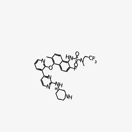 Cc1ccc2c(NS(=O)(=O)N(C)CC(F)(F)F)c(F)ccc2c1Oc1ncccc1-c1ccnc(N[C@@H]2CCCNC2)n1